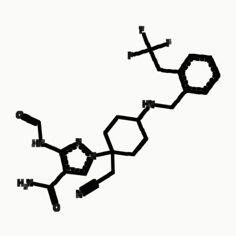 N#CCC1(n2cc(C(N)=O)c(NC=O)n2)CCC(NCc2ccccc2CC(F)(F)F)CC1